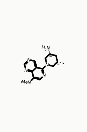 CNc1cnc(N2C[C@@H](C)C[C@@H](N)C2)c2cncnc12